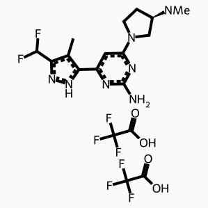 CN[C@@H]1CCN(c2cc(-c3[nH]nc(C(F)F)c3C)nc(N)n2)C1.O=C(O)C(F)(F)F.O=C(O)C(F)(F)F